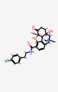 CN1CC[C@]23c4c5ccc(C(=O)NCCc6ccc(Br)cc6)c4O[C@@H]2C(=O)CCC3(O)C1C5